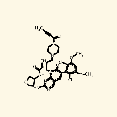 C=CC(=O)NC1COCC1Nc1ncc2cc(-c3c(Cl)c(OC)cc(OC)c3Cl)c(=O)n(CCCN3CCN(C(=O)C#CC)CC3)c2n1